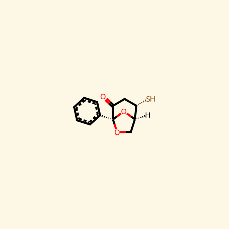 O=C1C[C@H](S)[C@H]2CO[C@]1(c1ccccc1)O2